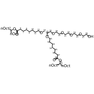 CCCCCCCCC(CCCCCCCC)OC(=O)CCCCCCCOC[C@H](COCCOCCOCCOCCO)OCCCCCCCC(=O)OC(CCCCCCCC)CCCCCCCC